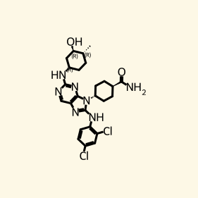 C[C@@H]1CC[C@@H](Nc2ncc3nc(Nc4ccc(Cl)cc4Cl)n([C@H]4CC[C@H](C(N)=O)CC4)c3n2)C[C@H]1O